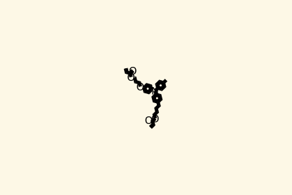 C=CC(=O)OCCCCc1ccc(N(c2ccc(C)cc2)c2ccc(OCCCOC(=O)C=C)cc2)cc1